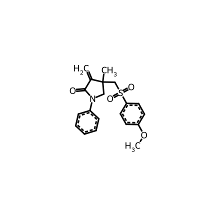 C=C1C(=O)N(c2ccccc2)CC1(C)CS(=O)(=O)c1ccc(OC)cc1